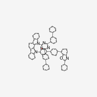 c1ccc(-c2ccc(-c3nc(-c4cccc(-c5ccccc5)c4)nc(-n4c5ccccc5c5ccc6c7ccccc7n(-c7ccc(-c8ccc(-c9cccc%10nc(-c%11ccccc%11)oc9%10)cc8)cc7)c6c54)n3)cc2)cc1